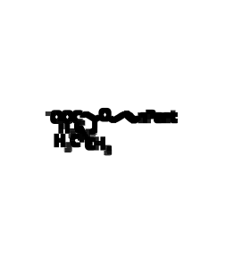 CCCCCC=CCOC(CC(=O)[O-])C[N+](C)(C)C